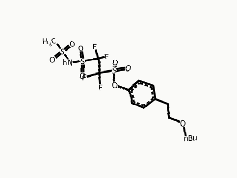 CCCCOCCc1ccc(OS(=O)(=O)C(F)(F)C(F)(F)S(=O)(=O)NS(C)(=O)=O)cc1